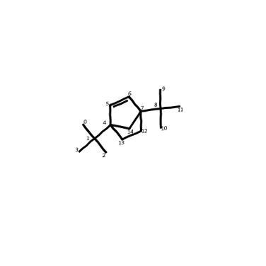 CC(C)(C)C12C=CC(C(C)(C)C)(CC1)C2